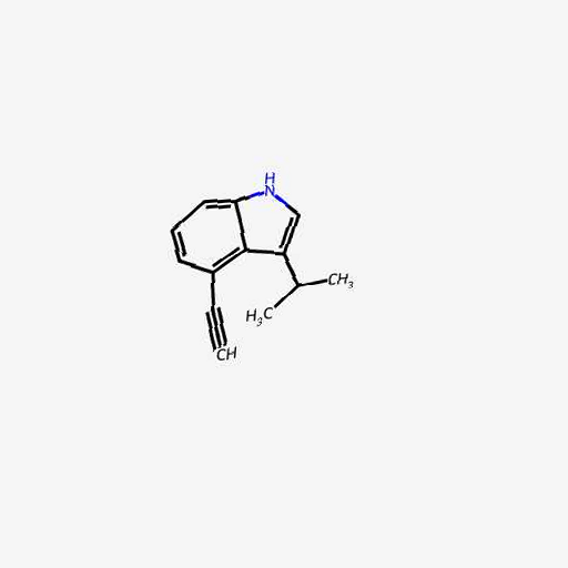 C#Cc1cccc2[nH]cc(C(C)C)c12